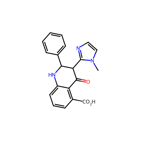 Cn1ccnc1C1C(=O)c2c(cccc2C(=O)O)NC1c1ccccc1